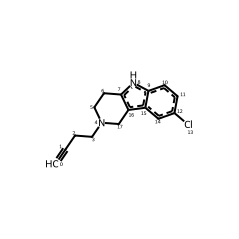 C#CCCN1CCc2[nH]c3ccc(Cl)cc3c2C1